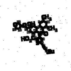 CC1=CCC(C(=O)N(c2cc(C#CC(C)(C)C)sc2C(=O)O)C2CCC(O)(COC3CCOC3)CC2)C(C)C1